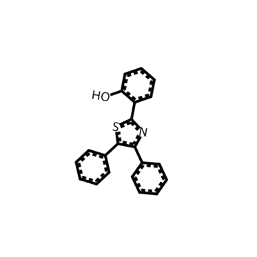 Oc1ccccc1-c1nc(-c2ccccc2)c(-c2ccccc2)s1